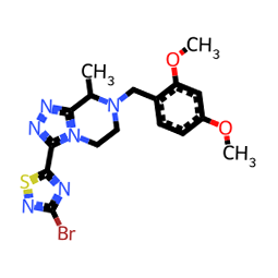 COc1ccc(CN2CCn3c(-c4nc(Br)ns4)nnc3C2C)c(OC)c1